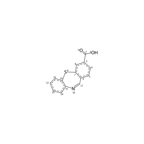 O=C(O)c1ccc2c(c1)Sc1ccccc1N=C2